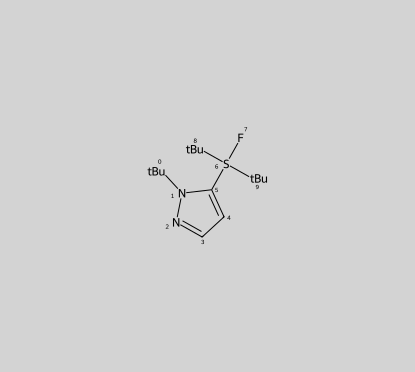 CC(C)(C)n1nccc1S(F)(C(C)(C)C)C(C)(C)C